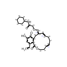 C=Cc1cc(O)c(Cl)c2c1C(=O)OCC/C=C/CC/C=C/C(=N/OCC(=O)NC1CCCCC1)C2